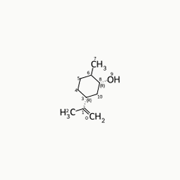 C=C(C)[C@@H]1CCC(C)[C@H](O)C1